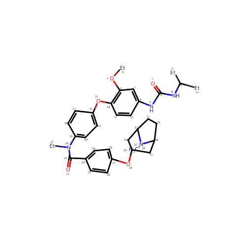 CCOc1cc(NC(=O)NC(CC)CC)ccc1Oc1ccc(N(CC)C(=O)c2ccc(OC3CC4CCC(C3)N4C)cc2)cc1